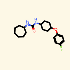 O=C(NC1CCCCCC1)NC1CCC(Oc2ccc(F)cc2)CC1